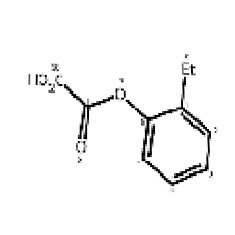 CCc1ccccc1OC(=O)C(=O)O